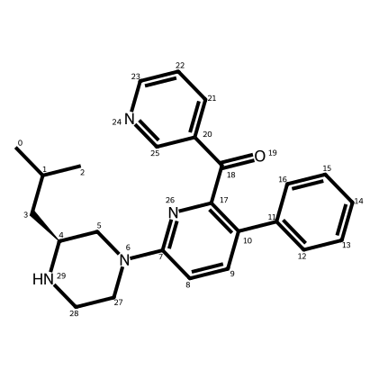 CC(C)C[C@H]1CN(c2ccc(-c3ccccc3)c(C(=O)c3cccnc3)n2)CCN1